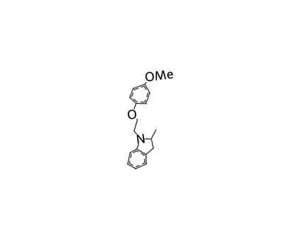 COc1ccc(OCCN2c3ccccc3CC2C)cc1